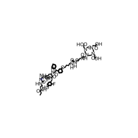 CCC(=O)NCCNC(=O)/N=C(/N)NCCC[C@@H](NC(=O)[C@H](c1ccccc1)c1cccc(OCCCCNC(=O)NOCCNC(=O)CN2CCN(CC(=O)O)CCN(CC(=O)O)CCN(CC(=O)O)CC2)c1)C(=O)NCc1c(F)cc(O)cc1F